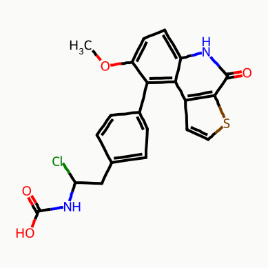 COc1ccc2[nH]c(=O)c3sccc3c2c1-c1ccc(CC(Cl)NC(=O)O)cc1